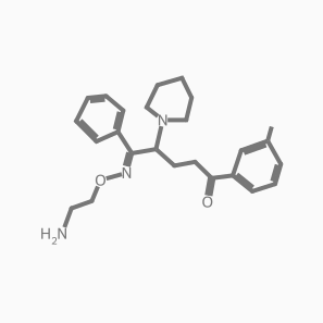 Cc1cccc(C(=O)CCC(C(=NOCCN)c2ccccc2)N2CCCCC2)c1